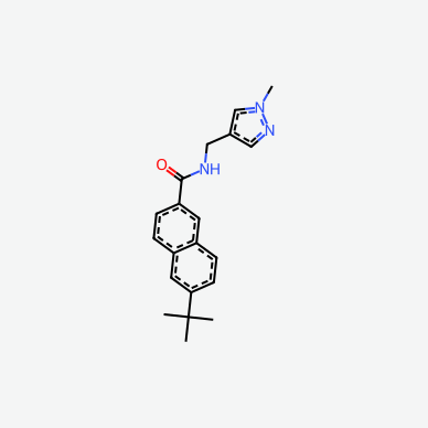 Cn1cc(CNC(=O)c2ccc3cc(C(C)(C)C)ccc3c2)cn1